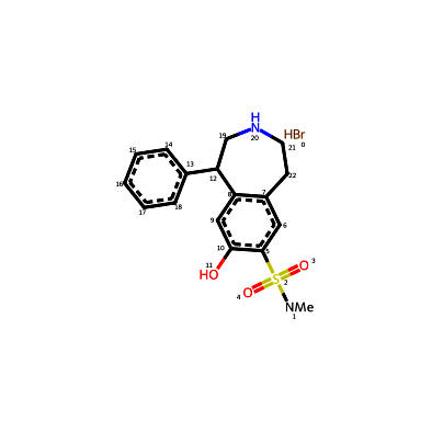 Br.CNS(=O)(=O)c1cc2c(cc1O)C(c1ccccc1)CNCC2